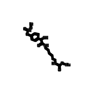 CCO[PH](=O)Oc1ccc(C(O)C(=O)NCCCCCCNC(=O)OC(C)(C)C)cc1